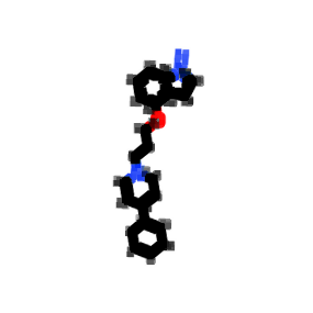 C1=CCC(C2=CCN(CCCOc3cccc4[nH]ccc34)C=C2)=CC1